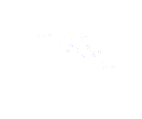 O=C(O)c1cnn(-c2nc(O)c3c(cnn3C[C@H]3CC[C@@H](C(F)(F)F)CC3)n2)c1